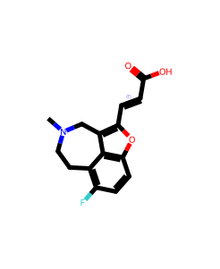 CN1CCc2c(F)ccc3oc(/C=C/C(=O)O)c(c23)C1